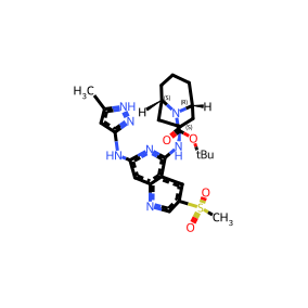 Cc1cc(Nc2cc3ncc(S(C)(=O)=O)cc3c(N[C@@H]3C[C@H]4CCC[C@@H](C3)N4C(=O)OC(C)(C)C)n2)n[nH]1